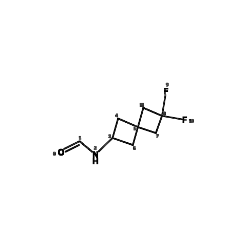 O=CNC1CC2(C1)CC(F)(F)C2